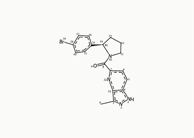 Cc1n[nH]c2ccc(C(=O)N3CCC[C@@H]3c3ccc(Br)cc3)nc12